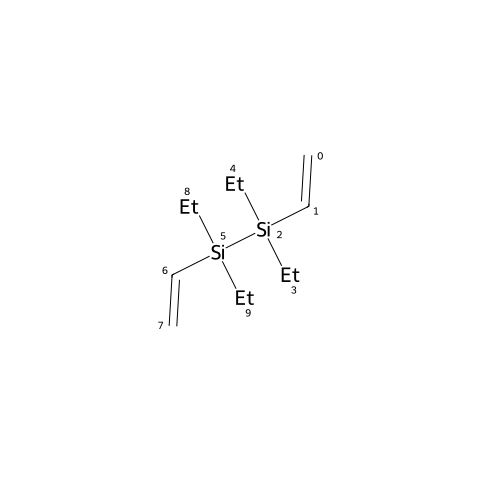 C=C[Si](CC)(CC)[Si](C=C)(CC)CC